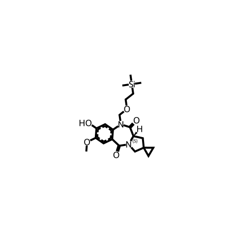 COc1cc2c(cc1O)N(COCC[Si](C)(C)C)C(=O)[C@@H]1CC3(CC3)CN1C2=O